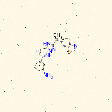 C[C@@H](c1ccc2ncsc2c1)c1nnc(/C=C\C(=N)c2cccc(N)c2)[nH]1